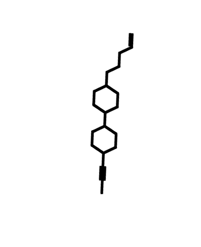 C=CCCCC1CCC(C2CCC(C#CC)CC2)CC1